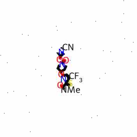 CNC(=O)c1csc2c(C(F)(F)F)cc(OC3CCN(C(=O)OC4CN(CC#N)C4)CC3)nc12